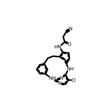 N#CCC(=O)Nc1ccc2cc1CCc1cccc(c1)Nc1ncc(Cl)c(n1)N2